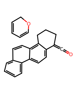 C1=CCOC=C1.O=C=C1CCCc2c1ccc1c2ccc2ccccc21